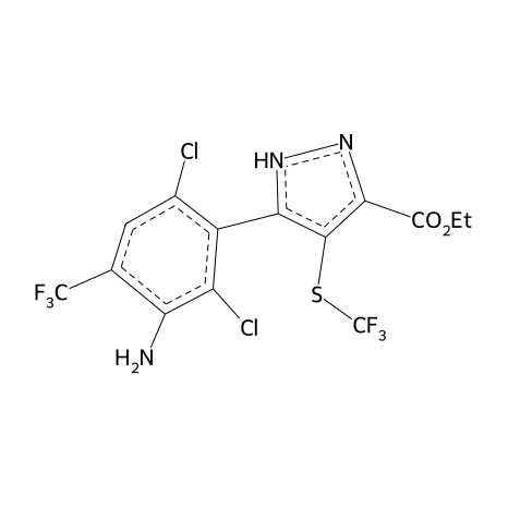 CCOC(=O)c1n[nH]c(-c2c(Cl)cc(C(F)(F)F)c(N)c2Cl)c1SC(F)(F)F